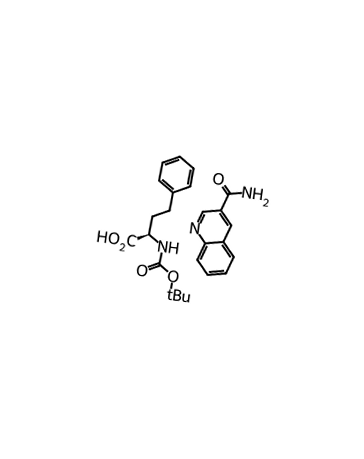 CC(C)(C)OC(=O)N[C@H](CCc1ccccc1)C(=O)O.NC(=O)c1cnc2ccccc2c1